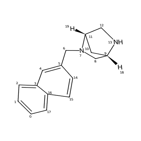 c1ccc2cc(CN3C[C@@H]4C[C@H]3CN4)ccc2c1